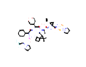 C=C[C@@H]1C[C@]1(NC(=O)[C@@H]1C[C@@]2(CN1C(=O)[C@@H](NC(=O)C(NOC[C@@H]1CCCN1CC(F)F)C1CCCCC1)C1CCOCC1)C(C)(C)C21CCC1)C(=O)NS(=O)(=O)N1CCCC1